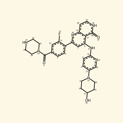 O=C(c1ccc(-c2cc(Nc3ccc(N4CCC(O)CC4)cn3)c3c(=O)[nH]ccc3n2)c(F)c1)N1CCNCC1